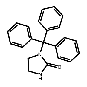 O=C1NCCN1C(c1ccccc1)(c1ccccc1)c1ccccc1